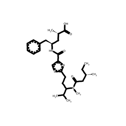 CC[C@H](C)CC(=O)N(C)C(CCc1nc(C(=O)N[C@@H](Cc2ccccc2)C[C@H](C)C(=O)O)cs1)C(C)C